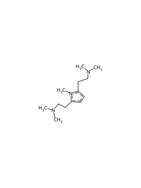 CN(C)CCc1ccc(CCN(C)C)n1C